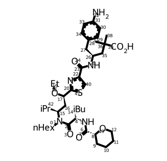 CCCCCCN(C(=O)[C@@H](NC(=O)[C@H]1CCCCO1)[C@@H](C)CC)[C@H](C[C@@H](OCC)c1nc(C(=O)N[C@@H](Cc2ccc(N)cc2)CC(C)(C)C(=O)O)cs1)C(C)C